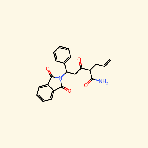 C=CCC(C(N)=O)C(=O)CC(c1ccccc1)N1C(=O)c2ccccc2C1=O